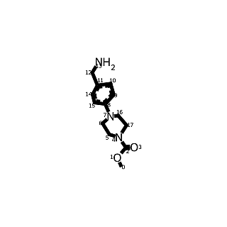 COC(=O)N1CCN(c2ccc(CN)cc2)CC1